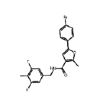 Cc1oc(-c2ccc(Br)cc2)cc1C(=O)NCc1cc(F)c(C)c(F)c1